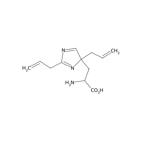 C=CCC1=NC(CC=C)(CC(N)C(=O)O)C=N1